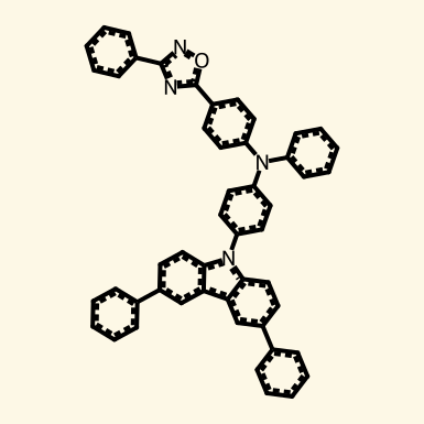 c1ccc(-c2ccc3c(c2)c2cc(-c4ccccc4)ccc2n3-c2ccc(N(c3ccccc3)c3ccc(-c4nc(-c5ccccc5)no4)cc3)cc2)cc1